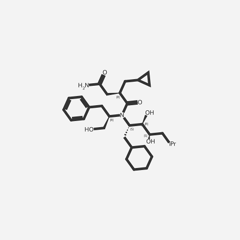 CC(C)C[C@H](O)[C@H](O)[C@H](CC1CCCCC1)N(C(=O)[C@@H](CC(N)=O)CC1CC1)[C@@H](CO)Cc1ccccc1